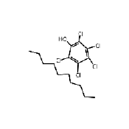 CCCCCCCCCC.Oc1c(Cl)c(Cl)c(Cl)c(Cl)c1Cl